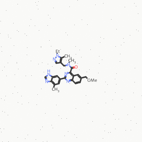 CCn1ncc(CN(C)C(=O)c2nc(-c3cc(C)c4nc[nH]c4c3)nc3ccc(COC)cc23)c1C